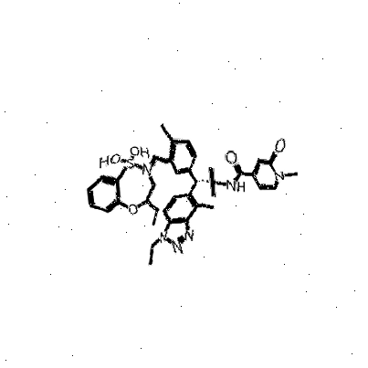 CCC1CN(Cc2cc([C@@H](c3ccc4c(nnn4CC)c3C)C(C)(C)NC(=O)c3ccn(C)c(=O)c3)ccc2C)S(O)(O)c2ccccc2O1